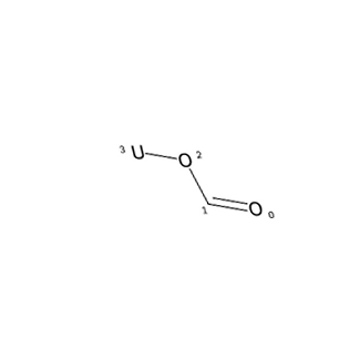 O=C[O][U]